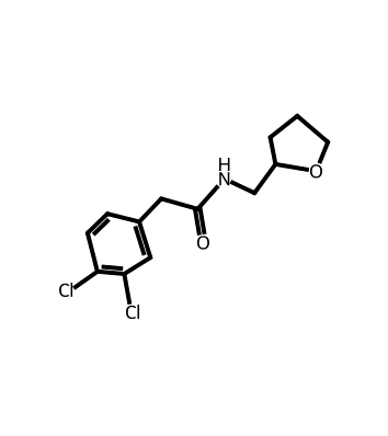 O=C(Cc1ccc(Cl)c(Cl)c1)NCC1CCCO1